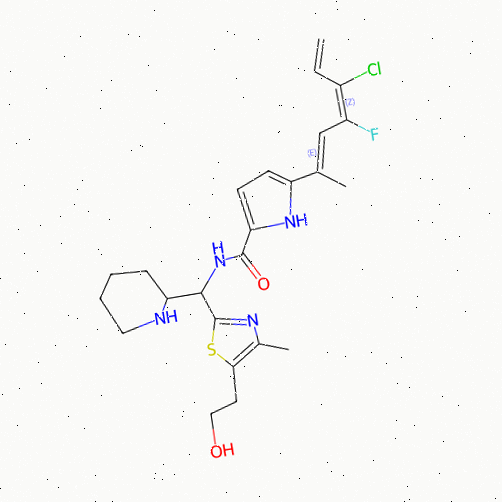 C=C/C(Cl)=C(F)\C=C(/C)c1ccc(C(=O)NC(c2nc(C)c(CCO)s2)C2CCCCN2)[nH]1